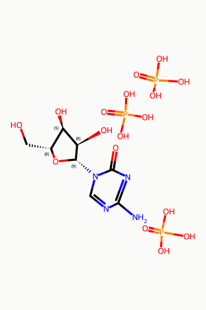 Nc1ncn([C@@H]2O[C@H](CO)[C@@H](O)[C@H]2O)c(=O)n1.O=P(O)(O)O.O=P(O)(O)O.O=P(O)(O)O